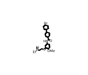 CCN(CC)CCOc1cc(NC(=O)c2ccc(-c3ccc(C(C)=O)cc3)cc2)ccc1OC